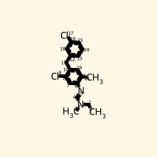 CCN(C)C=Nc1cc(Cl)c(Cc2cccc(Cl)c2)cc1C